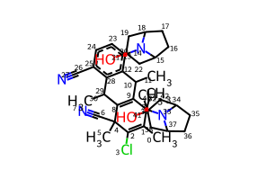 CC1=C(Cl)C(C)(C#N)C2=C(C(C)c3c(N4C5CCC4CC(O)C5)ccc(C#N)c3C2C)C1(C)N1C2CCC1CC(C)(O)C2